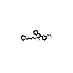 C[C@@H]1CCC[C@H](C)N1CCCCCn1c(=O)c(-c2cccc(N)n2)cc2ccccc21